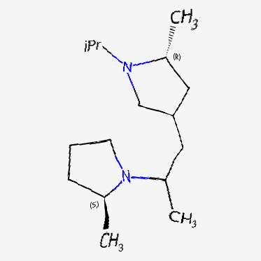 CC(C)N1CC(CC(C)N2CCC[C@@H]2C)C[C@H]1C